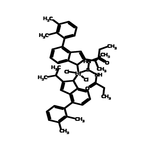 CCC(=O)N[B](NC(=O)CC)[Hf]([Cl])([Cl])([CH]1C(C(C)C)=Cc2c(-c3cccc(C)c3C)cccc21)[CH]1C(C(C)C)=Cc2c(-c3cccc(C)c3C)cccc21